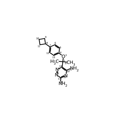 CC(C)(Oc1ccc(C2CCC2)cc1)c1nnc(N)nc1N